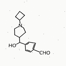 O=Cc1ccc(C(O)C2CCN(C3CCC3)CC2)cc1